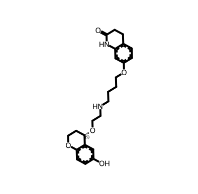 O=C1CCc2ccc(OCCCCNCCO[C@H]3CCOc4ccc(O)cc43)cc2N1